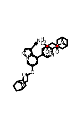 CC(O)CC(=O)N1C2CC1CN(c1ccc(-c3cc(OCCN4C5CCC4C(O)C5)cn4ncc(C#N)c34)cn1)C2